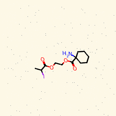 CC(I)C(=O)OCCOC(=O)C1(N)CCCCC1